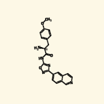 COc1ccc(C[C@H](N)C(=O)Nc2nc(-c3ccc4cnccc4c3)no2)cc1